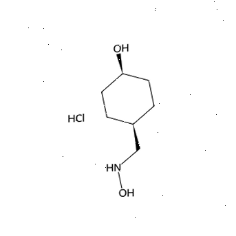 Cl.ONC[C@H]1CC[C@@H](O)CC1